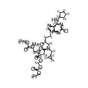 CO[C@@H](CCn1cnc2c(NC3CCCC3)nc(Cl)nc21)CN(CC1CC1)C(=O)CP(=O)(OCOC(=O)OC(C)C)OCOC(=O)OC(C)C